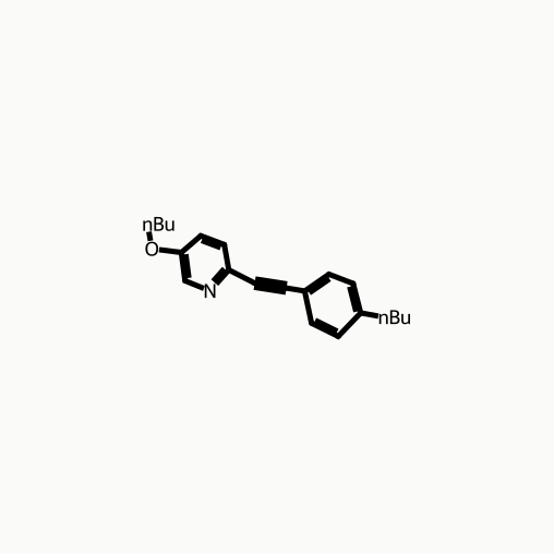 CCCCOc1ccc(C#Cc2ccc(CCCC)cc2)nc1